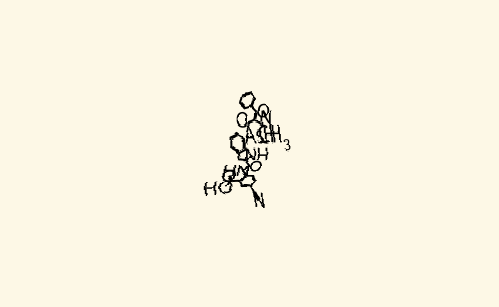 Cc1noc(-c2ccccc2)c1C(=O)[AsH]c1cccc2cc(C(=O)Nc3ccc(C#N)cc3C(=O)O)[nH]c12